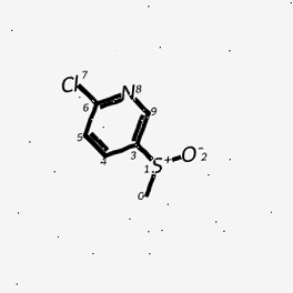 C[S+]([O-])c1ccc(Cl)nc1